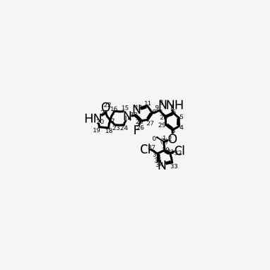 C[C@@H](Oc1ccc2[nH]nc(-c3cnc(N4CCC5(CCNC5=O)CC4)c(F)c3)c2c1)c1c(Cl)cncc1Cl